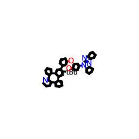 CC(C)(C)c1cc2c(cc1-c1cccc3c1Oc1ccc(-n4c5ccccc5n5c6ccccc6nc45)cc1O3)-c1ccccc1-c1ncccc1-c1ccccc1-2